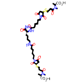 C[C@@H](C(=O)O)N(C)C(=O)CCSC1CC(=O)N(CCCCCC(=O)NCCCC[C@@H](NC(=O)CCCCCN2C(=O)CC(SCCC(=O)N(C)[C@@H](C)C(=O)O)C2=O)C(N)=O)C1=O